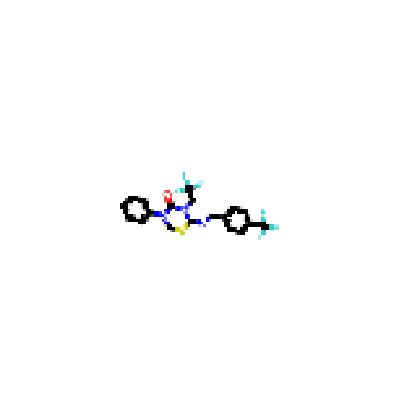 O=C1N(CC(F)(F)F)/C(=N\Cc2ccc(C(F)(F)F)cc2)SCN1c1ccccc1